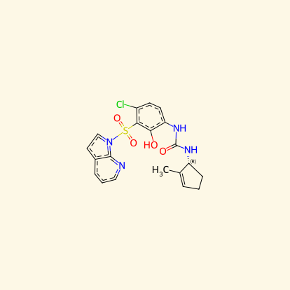 CC1=CCC[C@H]1NC(=O)Nc1ccc(Cl)c(S(=O)(=O)n2ccc3cccnc32)c1O